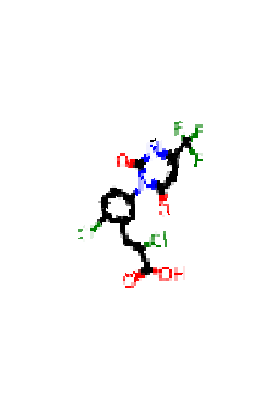 Cn1c(C(F)(F)F)cc(=O)n(-c2ccc(Cl)c(C=C(Cl)C(=O)O)c2)c1=O